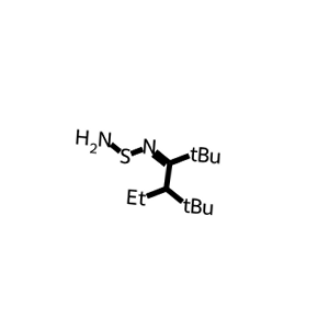 CCC(/C(=N\SN)C(C)(C)C)C(C)(C)C